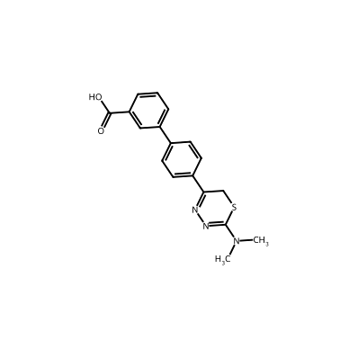 CN(C)C1=NN=C(c2ccc(-c3cccc(C(=O)O)c3)cc2)CS1